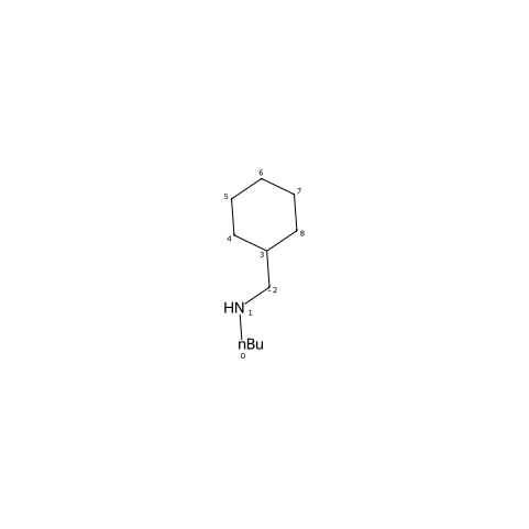 CCCCN[CH]C1CCCCC1